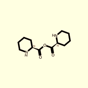 O=C(OC(=O)[C@@H]1CCCCN1)[C@@H]1CCCCN1